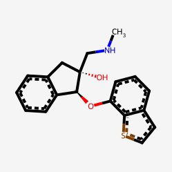 CNC[C@]1(O)Cc2ccccc2[C@@H]1Oc1cccc2ccsc12